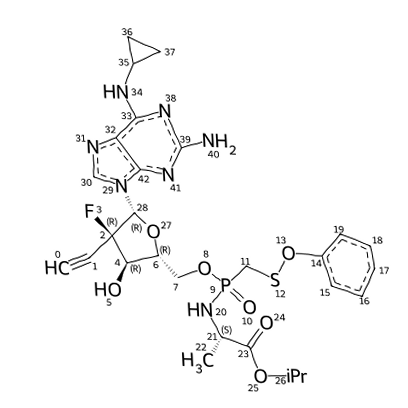 C#C[C@@]1(F)[C@H](O)[C@@H](COP(=O)(CSOc2ccccc2)N[C@@H](C)C(=O)OC(C)C)O[C@H]1n1cnc2c(NC3CC3)nc(N)nc21